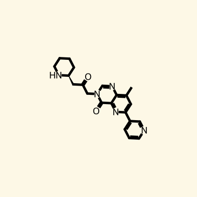 Cc1cc(-c2cccnc2)nc2c(=O)n(CC(=O)C[C@@H]3CCCCN3)cnc12